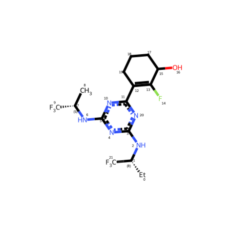 CC[C@@H](Nc1nc(N[C@@H](C)C(F)(F)F)nc(C2=C(F)C(O)CCC2)n1)C(F)(F)F